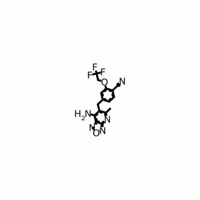 Cc1nc2nonc2c(N)c1Cc1ccc(C#N)c(OCC(F)(F)F)c1